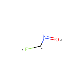 O=NCF